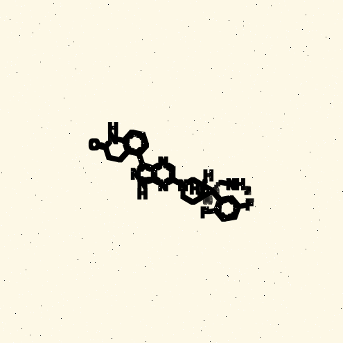 NC[C@]1(c2cc(F)ccc2F)[C@@H]2CCN(c3cnc4c(-c5cccc6c5CCC(=O)N6)n[nH]c4n3)C[C@@H]21